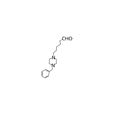 O=[C]CCCCCN1CCN(Cc2ccccc2)CC1